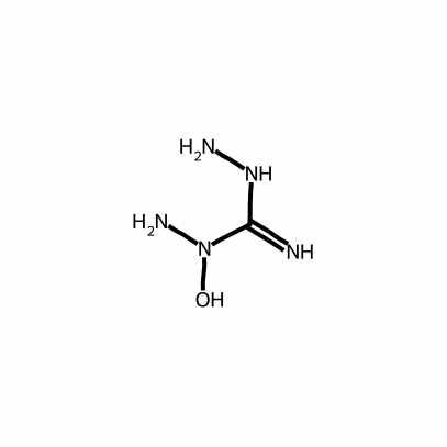 N=C(NN)N(N)O